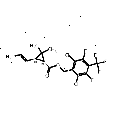 CC=C[C@@H]1[C@@H](C(=O)OCc2c(Cl)c(F)c(C(F)(F)F)c(F)c2Cl)C1(C)C